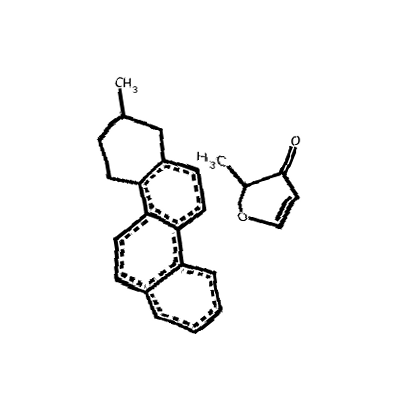 CC1CCc2c(ccc3c2ccc2ccccc23)C1.CC1OC=CC1=O